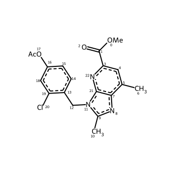 COC(=O)c1cc(C)c2nc(C)n(Cc3ccc(OC(C)=O)cc3Cl)c2n1